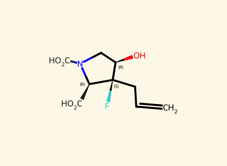 C=CC[C@@]1(F)[C@H](O)CN(C(=O)O)[C@@H]1C(=O)O